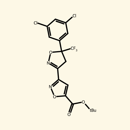 CC(C)(C)OC(=O)c1cc(C2=NOC(c3cc(Cl)cc(Cl)c3)(C(F)(F)F)C2)no1